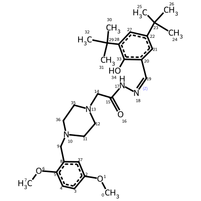 COc1ccc(OC)c(CN2CCN(CC(=O)N/N=C\c3cc(C(C)(C)C)cc(C(C)(C)C)c3O)CC2)c1